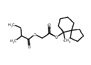 CCC(C)C(=O)OCC(=O)OC1(C)CCCCC12CCCC2